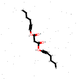 CCCCC#COC(=O)CC(=O)OC#CCCCC